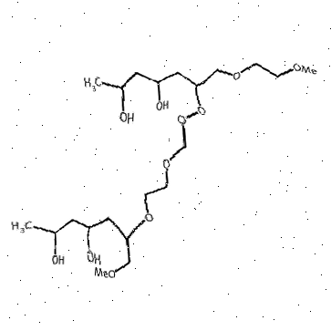 COCCOCC(CC(O)CC(C)O)OOCOCCOC(COC)CC(O)CC(C)O